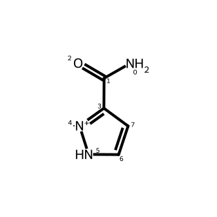 NC(=O)C1=[N+]NC=C1